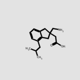 CC(C)Cc1cccc2c1CC(CN)(CC(=O)O)C2